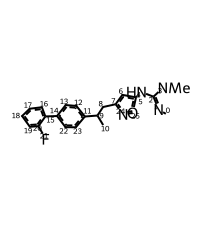 CN=C(NC)Nc1cc(CC(C)c2ccc(-c3ccccc3F)cc2)no1